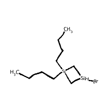 CCCC[Si]1(CCCC)C[SiH](Br)C1